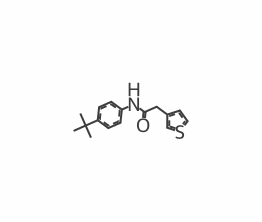 CC(C)(C)c1ccc(NC(=O)Cc2ccsc2)cc1